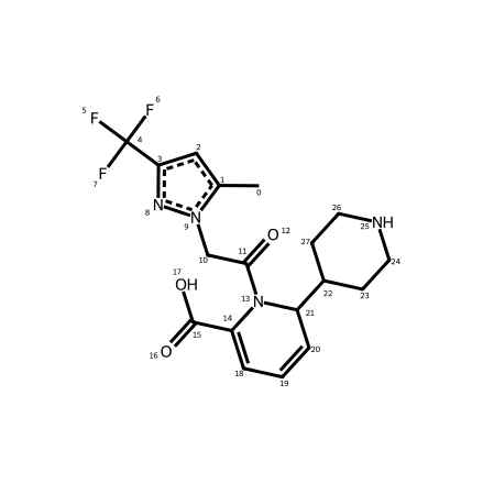 Cc1cc(C(F)(F)F)nn1CC(=O)N1C(C(=O)O)=CC=CC1C1CCNCC1